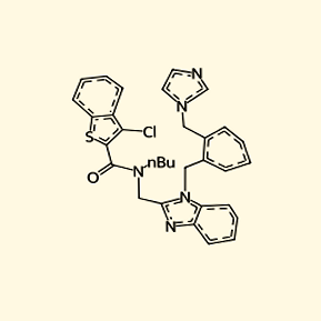 CCCCN(Cc1nc2ccccc2n1Cc1ccccc1Cn1ccnc1)C(=O)c1sc2ccccc2c1Cl